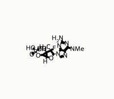 CNc1nc(N)nc2c1ncn2[C@@H]1O[C@@H]2C(OP(=O)(O)O)[C@]2(O)[C@@]1(C)F